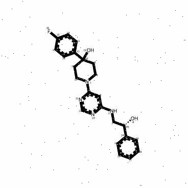 O[C@@H](CNc1cc(N2CCC(O)(c3ccc(F)cc3)CC2)ncn1)c1ccccc1